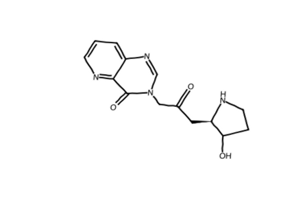 O=C(C[C@H]1NCCC1O)Cn1cnc2cccnc2c1=O